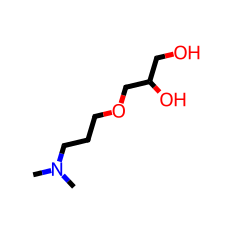 CN(C)CCCOCC(O)CO